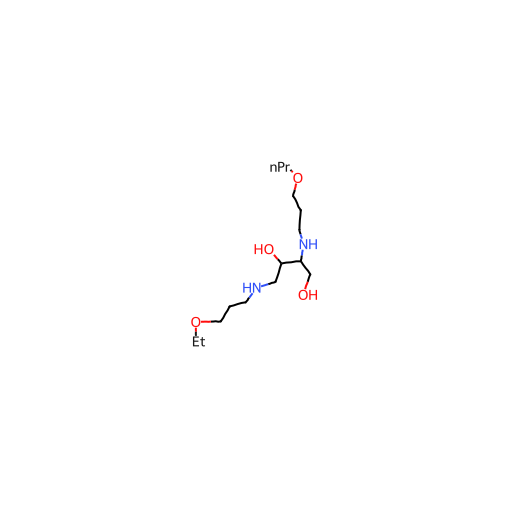 CCCOCCCNC(CO)C(O)CNCCCOCC